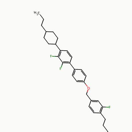 CCCCc1ccc(COc2ccc(-c3ccc(C4CCC(CCC)CC4)c(F)c3F)cc2)cc1F